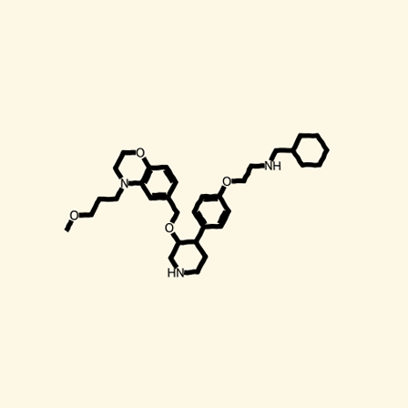 COCCCN1CCOc2ccc(COC3CNCCC3c3ccc(OCCNCC4CCCCC4)cc3)cc21